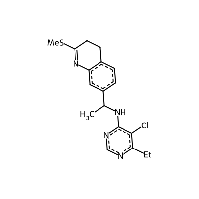 CCc1ncnc(NC(C)c2ccc3c(c2)N=C(SC)CC3)c1Cl